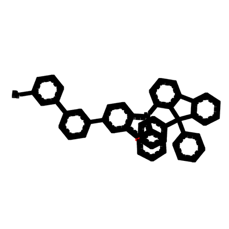 Brc1cccc(-c2cccc(-c3ccc4c(c3)c3ccccc3n4-c3cccc4c3C(c3ccccc3)(c3ccccc3)c3ccccc3-4)c2)c1